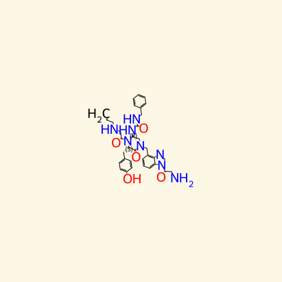 C=CCNCC(=O)N1[C@@H](NC(=O)NCc2ccccc2)CN(Cc2cccc3c2ncn3C(=O)CN)C(=O)[C@@H]1Cc1ccc(O)cc1